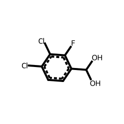 OC(O)c1ccc(Cl)c(Cl)c1F